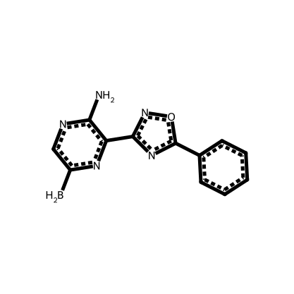 Bc1cnc(N)c(-c2noc(-c3ccccc3)n2)n1